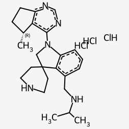 CC(C)NCc1cccc2c1C1(CCNCC1)CN2c1ncnc2c1[C@H](C)CC2.Cl.Cl.Cl